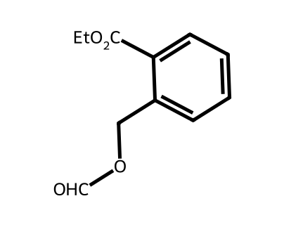 CCOC(=O)c1ccccc1COC=O